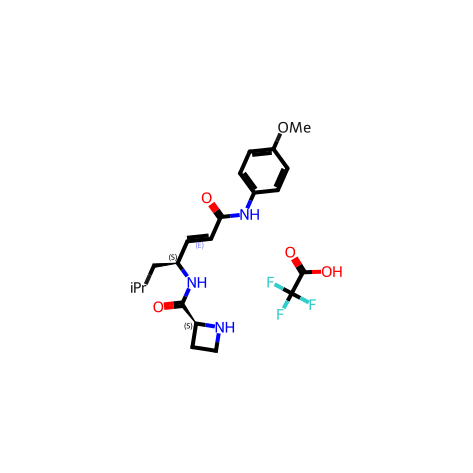 COc1ccc(NC(=O)/C=C/[C@H](CC(C)C)NC(=O)[C@@H]2CCN2)cc1.O=C(O)C(F)(F)F